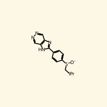 CC(C)C[S+]([O-])c1ccc(-c2nc3cnncc3[nH]2)cc1